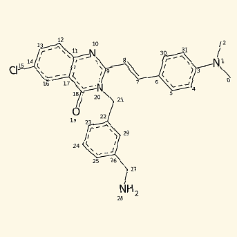 CN(C)c1ccc(/C=C/c2nc3ccc(Cl)cc3c(=O)n2Cc2cccc(CN)c2)cc1